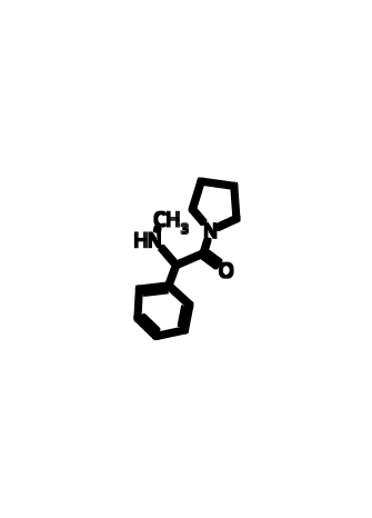 CNC(C(=O)N1CCCC1)c1ccccc1